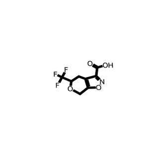 O=C(O)c1noc2c1CC(C(F)(F)F)OC2